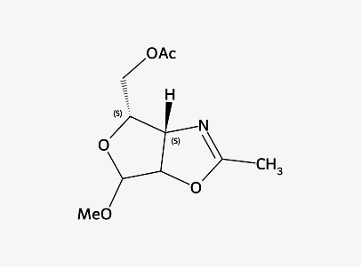 COC1O[C@H](COC(C)=O)[C@@H]2N=C(C)OC12